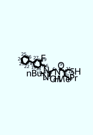 CCCCc1nc(OC)c(CNC(=O)C(CS)CC(C)C)n1Cc1ccc(-c2ccccc2)cc1F